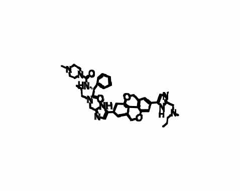 CCCN(C)Cc1ncc(-c2cc3c4c(c2)OCC2=CC(c5cnc(CN(CCC)C(=O)[C@H](NC(=O)N6CCN(C)CC6)c6ccccc6)[nH]5)CC(=C24)OC3)[nH]1